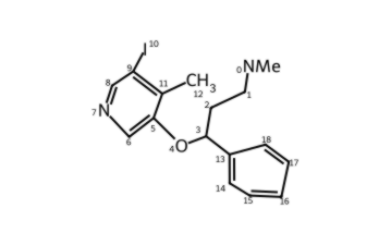 CNCCC(Oc1cncc(I)c1C)c1ccccc1